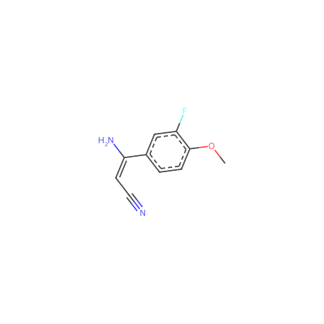 COc1ccc(/C(N)=C\C#N)cc1F